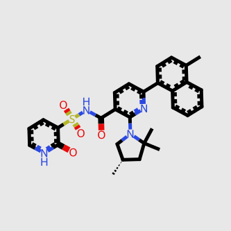 Cc1ccc(-c2ccc(C(=O)NS(=O)(=O)c3ccc[nH]c3=O)c(N3C[C@@H](C)CC3(C)C)n2)c2ccccc12